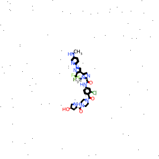 CNc1ccc(-n2cc(-c3cnc(C(=O)Nc4ccc(C(=O)N5CCN(C(=O)[C@@H]6C[C@@H](O)CN6)CC5)c(Cl)c4)n3C)c(C(F)(F)F)n2)nc1